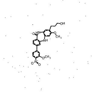 COc1cc2c(cc1CCCO)NC(=O)c1ccc(-c3ccc([N+](=O)[O-])c(OC)c3)cc1N2